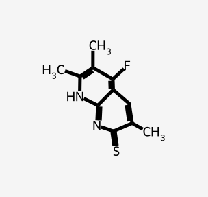 Cc1[nH]c2nc(=S)c(C)cc-2c(F)c1C